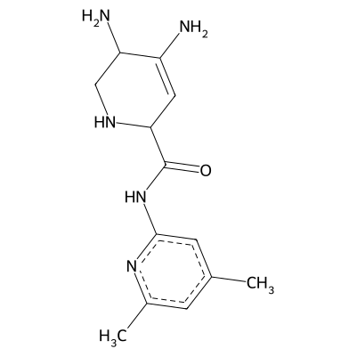 Cc1cc(C)nc(NC(=O)C2C=C(N)C(N)CN2)c1